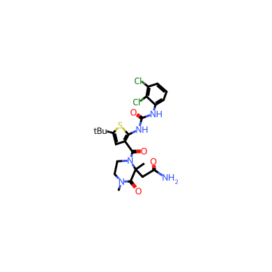 CN1CCN(C(=O)c2cc(C(C)(C)C)sc2NC(=O)Nc2cccc(Cl)c2Cl)C(C)(CC(N)=O)C1=O